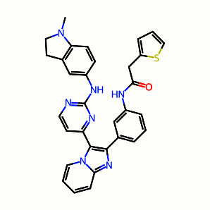 CN1CCc2cc(Nc3nccc(-c4c(-c5cccc(NC(=O)Cc6cccs6)c5)nc5ccccn45)n3)ccc21